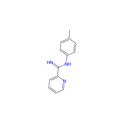 Cc1ccc(NC(=N)c2ccccn2)cc1